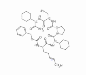 CC(C)C[C@H](NC(=O)[C@@H]1CCCN1C(=O)[C@@H](NC(=O)C(CC/C=C/C(=O)O)NC(=O)OCc1ccccc1)C1CCCCC1)C(=O)N[C@H](C(N)=O)C1CCCCC1